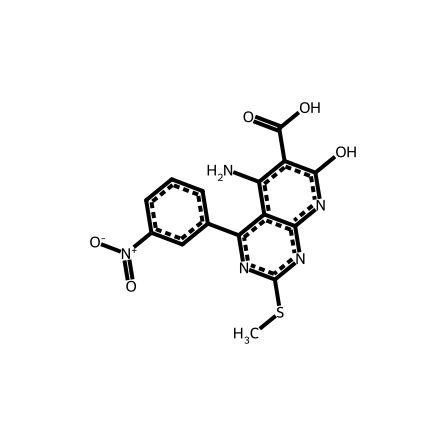 CSc1nc(-c2cccc([N+](=O)[O-])c2)c2c(N)c(C(=O)O)c(O)nc2n1